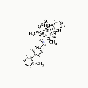 Cc1ccccc1-c1ccc(/C=C/[C@@H]2[C@@H]3[C@@H](C)OC(=O)[C@]3(Nc3cncnc3)CC(F)(F)[C@H]2C)nc1